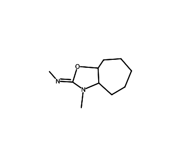 C/N=C1\OC2CCCCCC2N1C